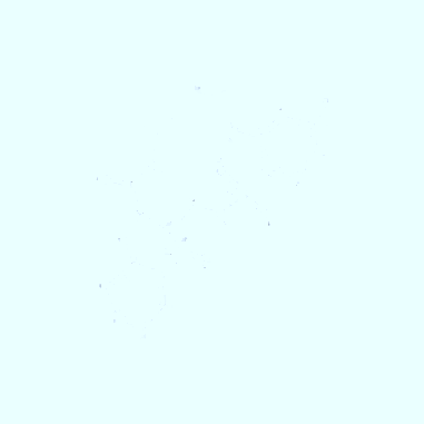 CCOC(=O)C(Cc1ccccc1)C(COS(=O)(=O)c1ccc(C)cc1OCC)[PH2]=O